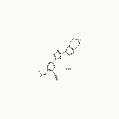 CC(C)Oc1ccc(-c2nnc(-c3ccc4c(c3)CCNCC4)s2)cc1C#N.Cl